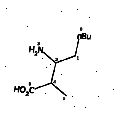 CCCCCC(N)C(C)C(=O)O